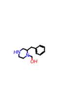 OCN1CCNCC1Cc1ccccc1